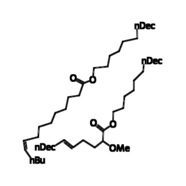 CCCC/C=C\CCCCCCCC(=O)OCCCCCCCCCCCCCCCC.CCCCCCCCCCC=CCCC(OC)C(=O)OCCCCCCCCCCCCCCCC